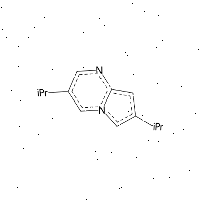 CC(C)c1cnc2cc(C(C)C)cn2c1